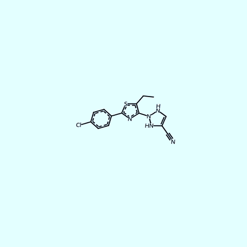 CCc1sc(-c2ccc(Cl)cc2)nc1N1NC=C(C#N)N1